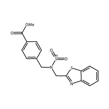 COC(=O)c1ccc(CN(Cc2nc3ccccc3s2)[SH](=O)=O)cc1